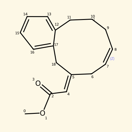 COC(=O)C=C1C/C=C\C[C]Cc2ccccc2C1